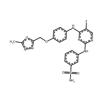 Cc1nnc(COc2ccc(Nc3nc(Nc4cccc(S(N)(=O)=O)c4)ncc3F)cc2)o1